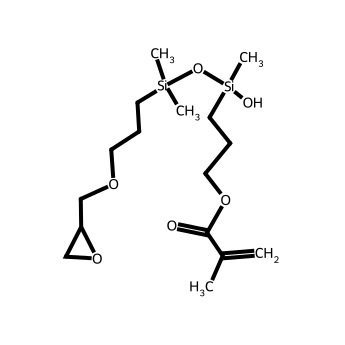 C=C(C)C(=O)OCCC[Si](C)(O)O[Si](C)(C)CCCOCC1CO1